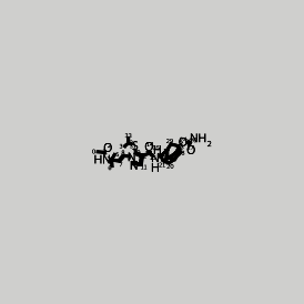 CC(=O)NC(C)(C)/C=C/n1ncc(C(=O)N[C@H]2C3CC4CC2C[C@](OC(N)=O)(C4)C3)c1SC(C)C